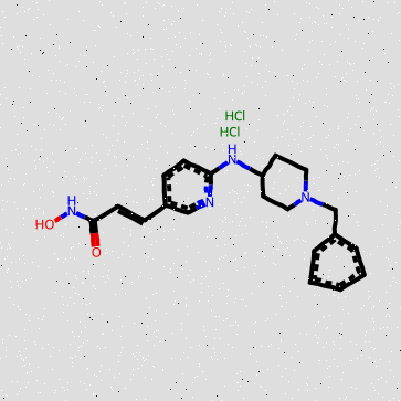 Cl.Cl.O=C(C=Cc1ccc(NC2CCN(Cc3ccccc3)CC2)nc1)NO